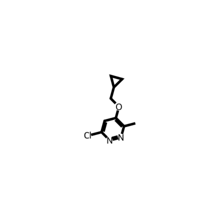 Cc1nnc(Cl)cc1OCC1CC1